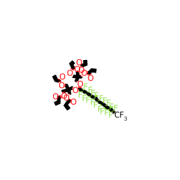 C=CC(=O)OCC(COC(=O)C=C)(COC(=O)C=C)COC(OCC(COC(=O)C=C)(COC(=O)C=C)COC(=O)C=C)C(F)(F)C(F)(F)C(F)(F)C(F)(F)C(F)(F)C(F)(F)C(F)(F)C(F)(F)C(F)(F)C(F)(F)F